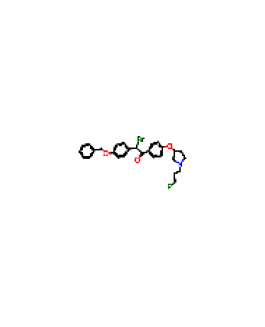 O=C(c1ccc(OC2CCN(CCCF)C2)cc1)C(Br)c1ccc(OCc2ccccc2)cc1